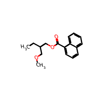 CCC(COC)COC(=O)c1cccc2ccccc12